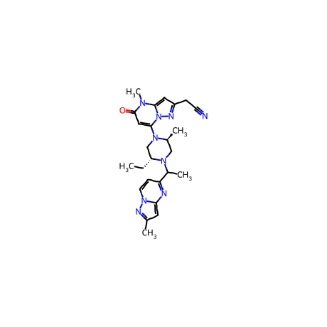 CC[C@@H]1CN(c2cc(=O)n(C)c3cc(CC#N)nn23)[C@@H](C)CN1C(C)c1ccn2nc(C)cc2n1